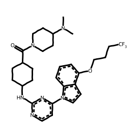 CN(C)C1CCN(C(=O)C2CCC(Nc3nccc(-n4ccc5c(OCCCC(F)(F)F)cccc54)n3)CC2)CC1